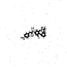 CSc1ccc(CC(=O)Nc2cc(C)c(-c3ccccc3OC(F)(F)F)c(C)c2)cc1